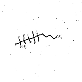 FC(F)(F)CCCCC(F)(F)C(F)(F)C(F)(F)C(F)(F)C(F)(F)[SiH3]